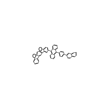 c1ccc2cc(-c3ccc(-c4c5ccccc5c(-c5ccc6oc7cc8oc9ccccc9c8cc7c6c5)c5ccccc45)cc3)ccc2c1